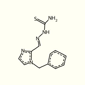 NC(=S)N/N=C/c1nccn1Cc1ccccc1